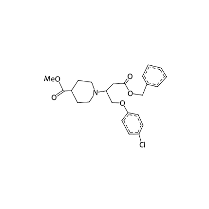 COC(=O)C1CCN(C(COc2ccc(Cl)cc2)CC(=O)OCc2ccccc2)CC1